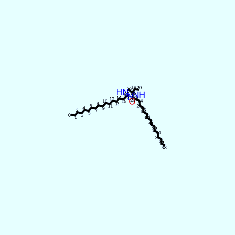 CCCCCCCCCCCCCCCCC1=NC(CC)(NC(=O)CCCCCCCCCCCCCCC)CN1